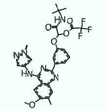 COc1cc2c(Nc3cnn(C)c3)nc(-c3cccc(OC(OC(=O)C(F)(F)F)C(=O)NC(C)(C)C)c3)nc2cc1C